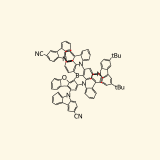 CC(C)(C)c1ccc2c(c1)c1cc(C(C)(C)C)ccc1n2-c1cc2c3c(c1)N(c1ccccc1-c1ccccc1)c1cc(-n4c5ccccc5c5cc(C#N)ccc54)c4c(oc5ccccc54)c1B3c1ccc(-n3c4ccccc4c4cc(C#N)ccc43)cc1N2c1ccccc1-c1ccccc1